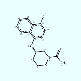 CC(=O)N1CCC[C@@H](Oc2nnc(Cl)c3ccccc23)C1